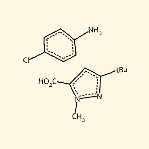 Cn1nc(C(C)(C)C)cc1C(=O)O.Nc1ccc(Cl)cc1